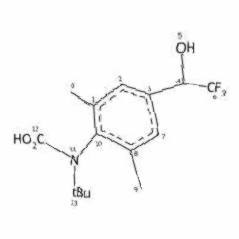 Cc1cc(C(O)C(F)(F)F)cc(C)c1N(C(=O)O)C(C)(C)C